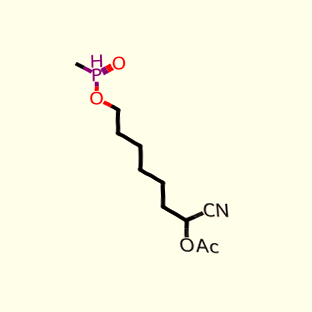 CC(=O)OC(C#N)CCCCCCO[PH](C)=O